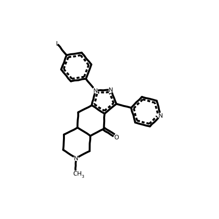 CN1CCC2Cc3c(c(-c4ccncc4)nn3-c3ccc(I)cc3)C(=O)C2C1